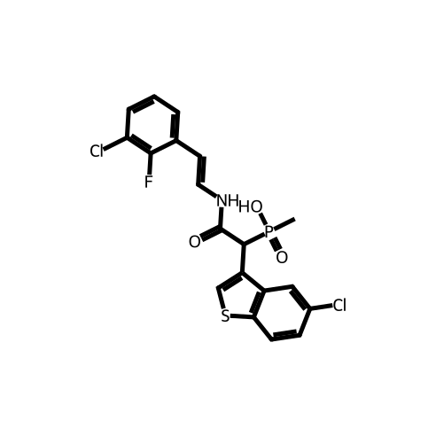 CP(=O)(O)C(C(=O)NC=Cc1cccc(Cl)c1F)c1csc2ccc(Cl)cc12